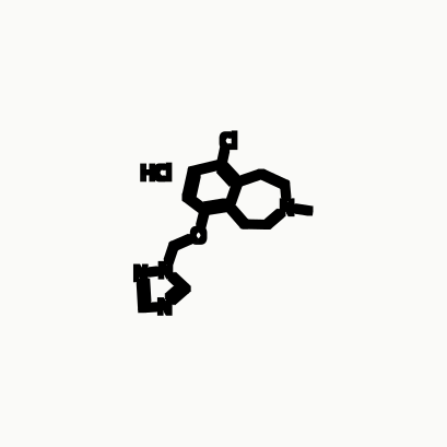 CN1CCc2c(Cl)ccc(OCn3cncn3)c2CC1.Cl